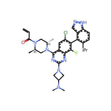 C=CC(=O)N1C[C@H](C)N(c2nc(N3CC(N(C)C)C3)nc3c(F)c(-c4c(C(C)C)ccc5[nH]ncc45)c(Cl)cc23)C[C@H]1C